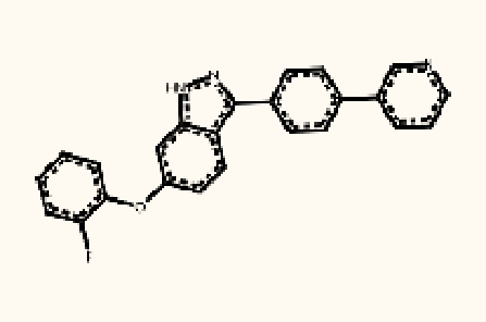 Fc1ccccc1Oc1ccc2c(-c3ccc(-c4cccnc4)cc3)n[nH]c2c1